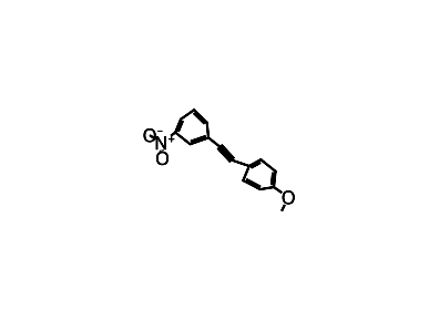 COc1ccc(C#Cc2cccc([N+](=O)[O-])c2)cc1